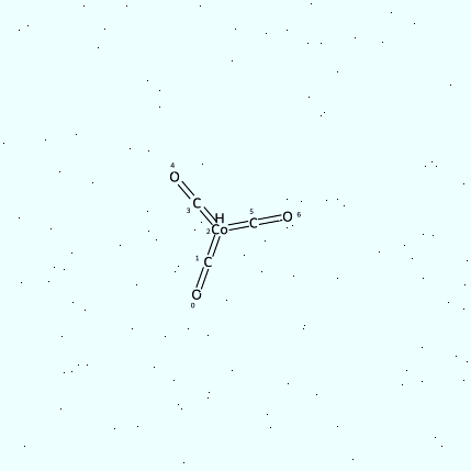 O=[C]=[CoH](=[C]=O)=[C]=O